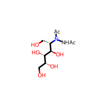 CC(=O)NN(C(C)=O)[C@@H](CO)[C@@H](O)[C@@H](O)[C@H](O)CO